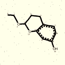 CCOC1CCc2ccc(O)cc2O1